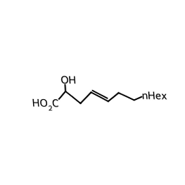 CCCCCCCCC=CCC(O)C(=O)O